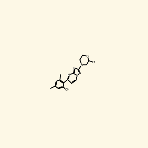 CCC1CN(c2nc3nc(-c4c(C)cc(C)cc4O)ccn3n2)CCO1